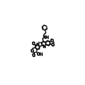 O=C1OCc2c(cc3n(c2=O)Cc2c-3nc3cc4c(cc3c2CNCCC2=CCCC=C2)OCO4)C1O